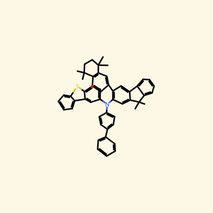 CC1(C)CCC(C)(C)c2cc(-c3cc4c(cc3N(c3ccc(-c5ccccc5)cc3)c3ccc5sc6ccccc6c5c3)C(C)(C)c3ccccc3-4)ccc21